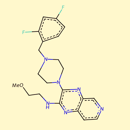 COCCNc1nc2ccncc2nc1N1CCN(Cc2ccc(F)cc2F)CC1